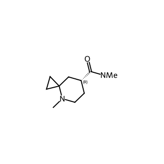 CNC(=O)[C@@H]1CCN(C)C2(CC2)C1